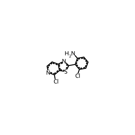 Nc1cccc(Cl)c1-c1nc2ccnc(Cl)c2s1